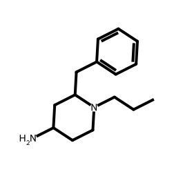 CCCN1CCC(N)CC1Cc1ccccc1